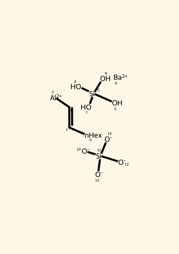 CCCCCCC=[CH][Al+2].O[Si](O)(O)O.[Ba+2].[O-][Si]([O-])([O-])[O-]